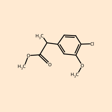 COC(=O)C(C)c1ccc(Cl)c(OC)c1